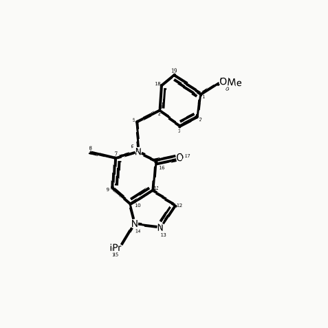 COc1ccc(Cn2c(C)cc3c(cnn3C(C)C)c2=O)cc1